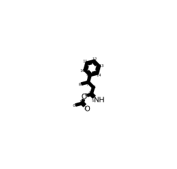 CC(=O)OC(=N)CC(C)c1ccccc1